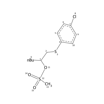 CCCCC(CSc1ccc(Cl)cc1)OS(C)(=O)=O